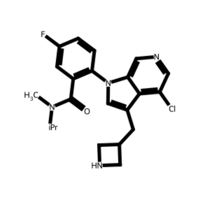 CC(C)N(C)C(=O)c1cc(F)ccc1-n1cc(CC2CNC2)c2c(Cl)cncc21